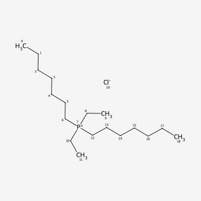 CCCCCCC[P+](CC)(CC)CCCCCCC.[Cl-]